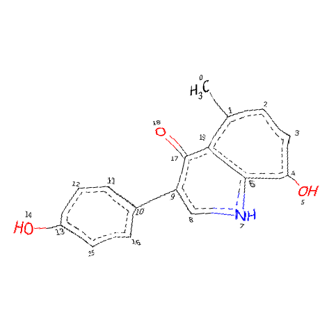 Cc1ccc(O)c2[nH]cc(-c3ccc(O)cc3)c(=O)c12